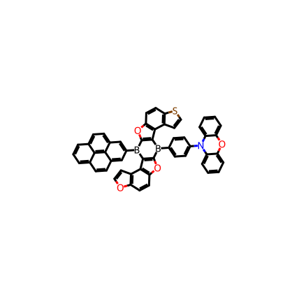 c1ccc2c(c1)Oc1ccccc1N2c1ccc(B2c3oc4ccc5occc5c4c3B(c3cc4ccc5cccc6ccc(c3)c4c56)c3oc4ccc5sccc5c4c32)cc1